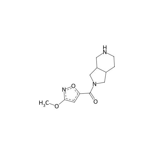 COc1cc(C(=O)N2CC3CCNCC3C2)on1